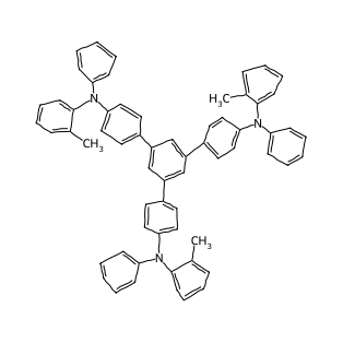 Cc1ccccc1N(c1ccccc1)c1ccc(-c2cc(-c3ccc(N(c4ccccc4)c4ccccc4C)cc3)cc(-c3ccc(N(c4ccccc4)c4ccccc4C)cc3)c2)cc1